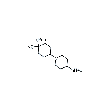 CCCCCCC1CCN(C2CCC(C#N)(CCCCC)CC2)CC1